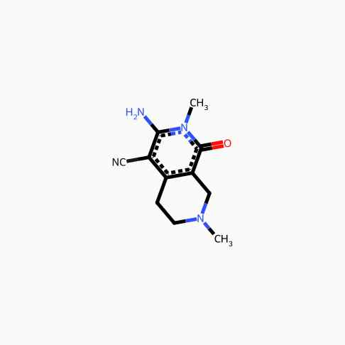 CN1CCc2c(C#N)c(N)n(C)c(=O)c2C1